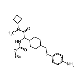 CN(C(=O)C(NC(=O)OC(C)(C)C)C1CCC(CSc2ccc(N)cc2)CC1)C1CCC1